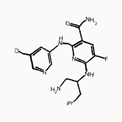 CC(C)CC(CN)Nc1nc(Nc2cncc(Cl)c2)c(C(N)=O)cc1F